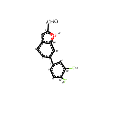 O=Cc1cc2ccc(-c3ccc(F)c(F)c3)cc2o1